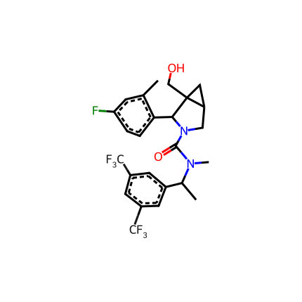 Cc1cc(F)ccc1C1N(C(=O)N(C)C(C)c2cc(C(F)(F)F)cc(C(F)(F)F)c2)CC2CC21CO